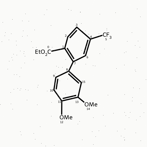 CCOC(=O)c1ccc(C(F)(F)F)cc1-c1ccc(OC)c(OC)c1